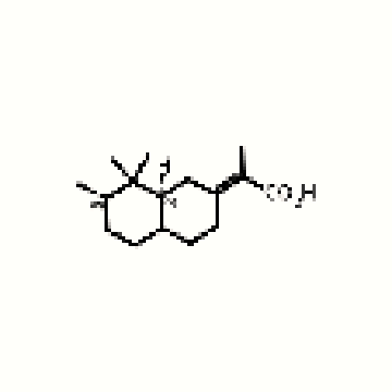 CC(C(=O)O)=C1CCC2CC[C@@H](C)C(C)(C)[C@H]2C1